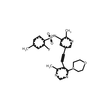 Cc1ccc(S(=O)(=O)Nc2cc(C#Cc3c(C)ncnc3N3CCOCC3)cnc2C)c(F)c1